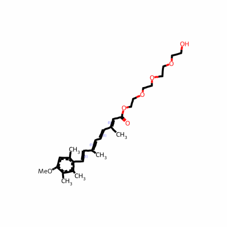 COc1cc(C)c(/C=C/C(C)=C/C=C/C(C)=C/C(=O)OCCOCCOCCOCCO)c(C)c1C